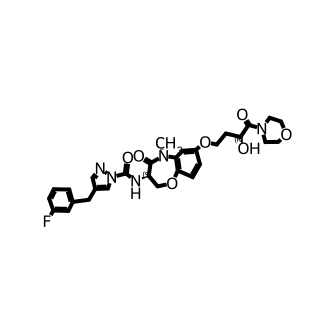 CN1C(=O)[C@@H](NC(=O)n2cc(Cc3cccc(F)c3)cn2)COc2ccc(OCC[C@@H](O)C(=O)N3CCOCC3)cc21